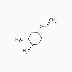 C=CO[C@@H]1CCN(C)[C@H](C)C1